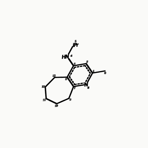 Cc1cc(NC(C)C)c2c(n1)CCCCC2